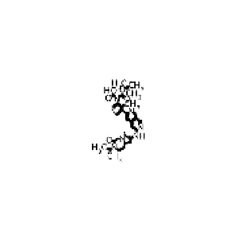 Cc1c(-c2cc3cc(Nc4cc5n(n4)CC(=O)N(C(C)C)CC5)ncc3cn2)cncc1N(C(=O)O)C(=O)OC(C)(C)C